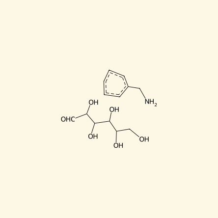 NCc1ccccc1.O=CC(O)C(O)C(O)C(O)CO